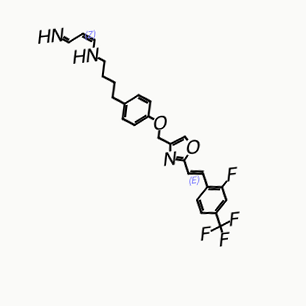 N=C/C=C\NCCCCc1ccc(OCc2coc(/C=C/c3ccc(C(F)(F)F)cc3F)n2)cc1